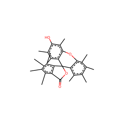 Cc1c(C)c(C)c2c(c1C)Oc1c(C)c(O)c(C)c(C)c1C21OC(=O)c2c(C)c(C)c(C)c(C)c21